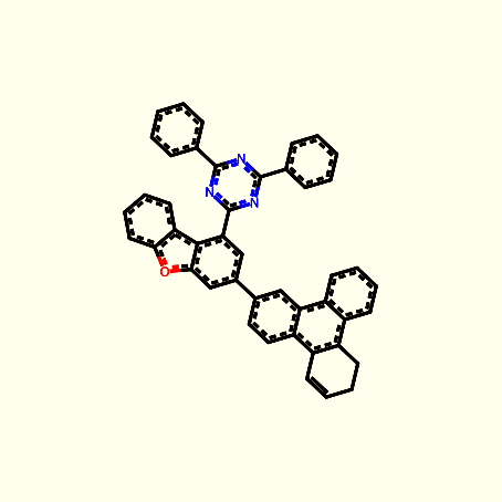 C1=Cc2c(c3ccccc3c3cc(-c4cc(-c5nc(-c6ccccc6)nc(-c6ccccc6)n5)c5c(c4)oc4ccccc45)ccc23)CC1